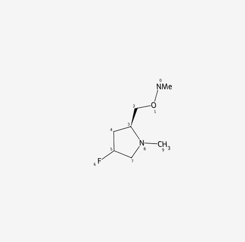 CNOC[C@@H]1CC(F)CN1C